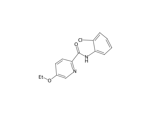 CCOc1ccc(C(=O)Nc2ccccc2Cl)nc1